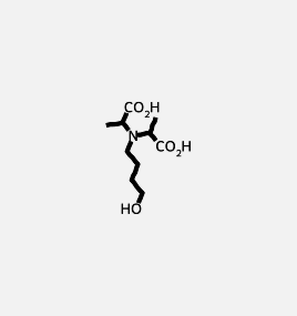 CC(C(=O)O)N(CCCCO)C(C)C(=O)O